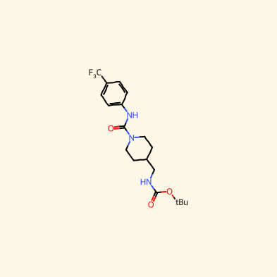 CC(C)(C)OC(=O)NCC1CCN(C(=O)Nc2ccc(C(F)(F)F)cc2)CC1